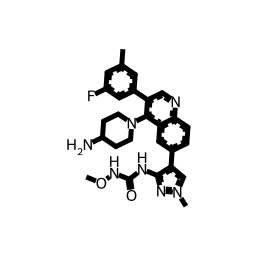 CONC(=O)Nc1nn(C)cc1-c1ccc2ncc(-c3cc(C)cc(F)c3)c(N3CCC(N)CC3)c2c1